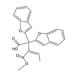 CC=C(C(=O)OC)C(C(=O)O)(c1cc2ccccc2o1)c1cc2ccccc2o1